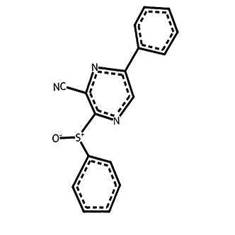 N#Cc1nc(-c2ccccc2)cnc1[S+]([O-])c1ccccc1